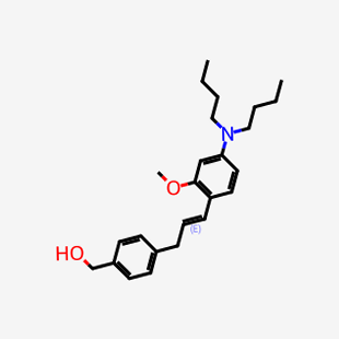 CCCCN(CCCC)c1ccc(/C=C/Cc2ccc(CO)cc2)c(OC)c1